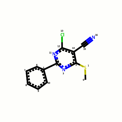 CSc1nc(-c2ccccc2)nc(Cl)c1C#N